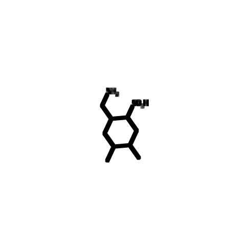 CC1CC(CN)C(S(=O)(=O)O)CC1C